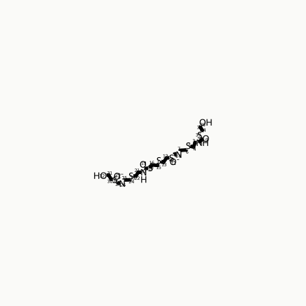 O=C(NCCSCC/N=C/[S+]([O-])CCSCCSC(=O)NCCSCC/N=C\[S+]([O-])CCO)SCCO